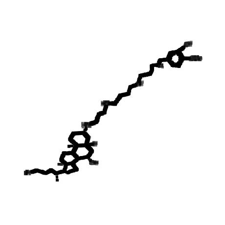 COc1ccc(CNCCCNCCCCNCCCN[C@H]2CC[C@]3(C)C4CC[C@@]5(C)C(CC[C@@H]5[C@H](C)CCCC(C)C)C4[C@@H](O)C[C@H]3C2)cc1O